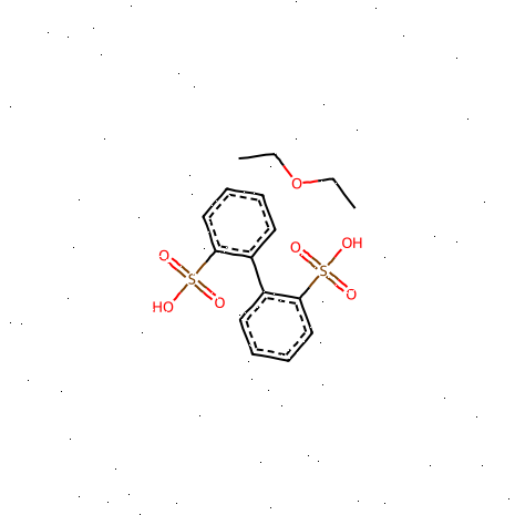 CCOCC.O=S(=O)(O)c1ccccc1-c1ccccc1S(=O)(=O)O